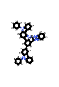 c1ccc(-n2c3ccccc3c3cc(-c4cc5c6c(c4)c4ccc7c(c8ccccc8n7-c7ccccc7)c4n6C4C5n5c6ccccc6n54)ccc32)cc1